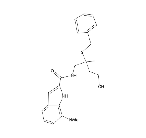 CNc1cccc2cc(C(=O)NCC(C)(CCO)SCc3ccccc3)[nH]c12